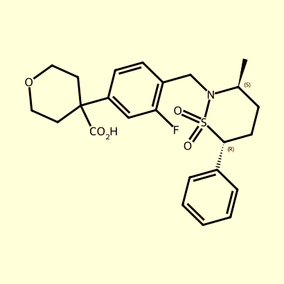 C[C@H]1CC[C@H](c2ccccc2)S(=O)(=O)N1Cc1ccc(C2(C(=O)O)CCOCC2)cc1F